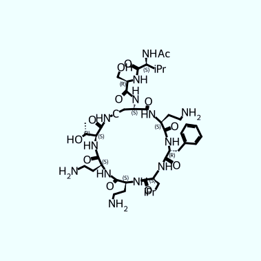 CC(=O)N[C@H](C(=O)N[C@H](CO)C(=O)N[C@H]1CCNC(=O)[C@H]([C@@H](C)O)NC(=O)[C@H](CCN)NC(=O)[C@H](CCN)NC(=O)[C@H](CC(C)C)NC(=O)[C@@H](Cc2ccccc2)NC(=O)[C@H](CCN)NC1=O)C(C)C